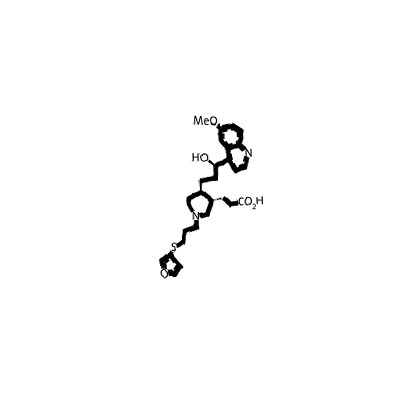 COc1ccc2nccc([C@H](O)CC[C@@H]3CCN(CCCSc4ccoc4)C[C@H]3CCC(=O)O)c2c1